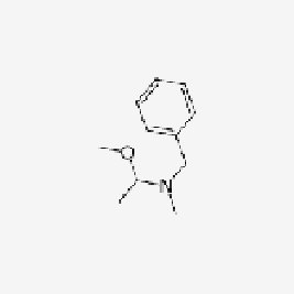 COC(C)N(C)Cc1ccccc1